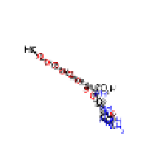 C#CCOCCOCCOCCOCCOCCOCCCC(=O)CC[C@H](NC(=O)c1ccc(NCc2cnc3nc(N)[nH]c(=O)c3n2)cc1)C(=O)O